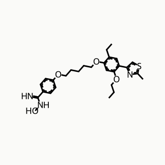 CCCOc1cc(OCCCCCOc2ccc(C(=N)NO)cc2)c(CC)cc1-c1csc(C)n1